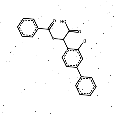 O=C(SC(C(=O)O)c1ccc(-c2ccccc2)cc1Cl)c1ccccc1